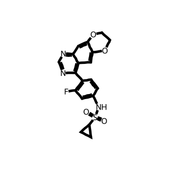 O=S(=O)(Nc1ccc(-c2ncnc3cc4c(cc23)OCCO4)c(F)c1)C1CC1